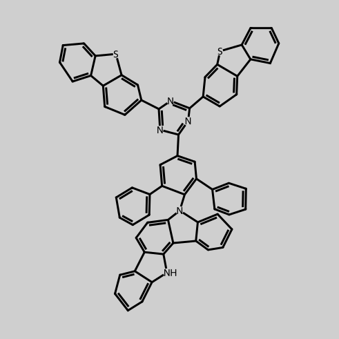 c1ccc(-c2cc(-c3nc(-c4ccc5c(c4)sc4ccccc45)nc(-c4ccc5c(c4)sc4ccccc45)n3)cc(-c3ccccc3)c2-n2c3ccccc3c3c4[nH]c5ccccc5c4ccc32)cc1